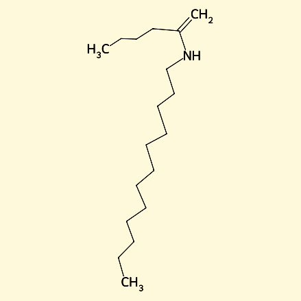 C=C(CCCC)NCCCCCCCCCCCC